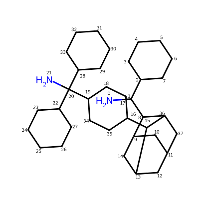 NC(C1CCCCC1)C1C2CC3CC(C2)C(C2CCC(C(N)(C4CCCCC4)C4CCCCC4)CC2)C1C3